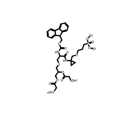 CCCCCCCCCCCC(=O)OCC(CSCC(NC(=O)OCC1c2ccccc2-c2ccccc21)C(=O)NC1(COCCCP(=O)(OCC)OCC)CC1)OC(=O)CCCCCCCCCCC